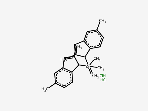 CC1=Cc2cc(C)ccc2[CH]1[Zr]([CH3])([CH3])(=[SiH2])[CH]1C(C)=Cc2cc(C)ccc21.Cl.Cl